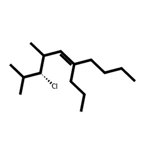 CCCC/C(=C/C(C)[C@H](Cl)C(C)C)CCC